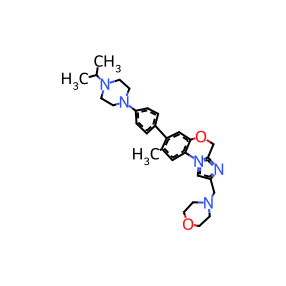 Cc1cc2c(cc1-c1ccc(N3CCN(C(C)C)CC3)cc1)OCc1nc(CN3CCOCC3)cn1-2